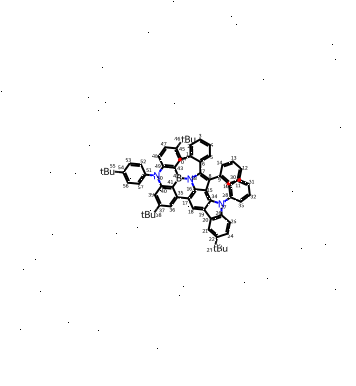 Cc1ccccc1-c1c(-c2ccccc2)c2c3c(cc4c5cc(C(C)(C)C)ccc5n(-c5ccccc5)c42)-c2cc(C(C)(C)C)cc4c2B(c2cc(C(C)(C)C)ccc2N4c2ccc(C(C)(C)C)cc2)n13